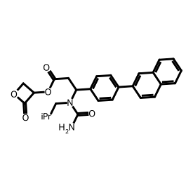 CC(C)CN(C(N)=O)C(CC(=O)OC1COC1=O)c1ccc(-c2ccc3ccccc3c2)cc1